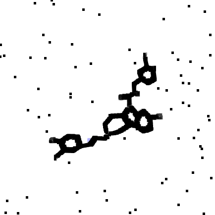 O=C(NCc1ccnc(F)c1)n1c2c(c3ccc(Cl)cc31)CN(C/C=C/c1ccc(Cl)c(F)c1)CC2